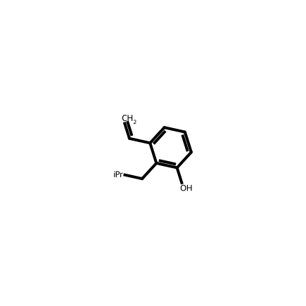 C=Cc1cccc(O)c1CC(C)C